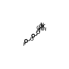 Cc1noc(NC(=O)N2CCC(=Cc3cccc(OCCc4cccc(F)c4)c3)CC2)c1C